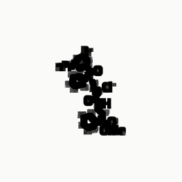 CCC[n+]1cc(Br)cc(C(=O)N(CCOC(=O)NCCN(C(=O)OC)c2ccccc2)c2ccccc2)c1.[Cl-]